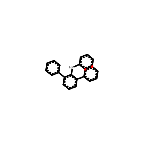 c1ccc(Pc2c(-c3ccccc3)cccc2-c2ccccc2)cc1